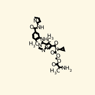 Cc1ccc(C(=O)NC2=NCC=C2)cc1Nc1ncnn2cc(C(=O)N(C(=O)OCOC(=O)C(C)N)C3CC3)c(C)c12